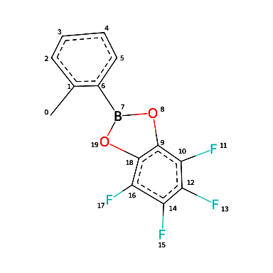 Cc1ccccc1B1Oc2c(F)c(F)c(F)c(F)c2O1